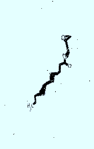 CCCCCC=CCCC(=O)OCC1CO1